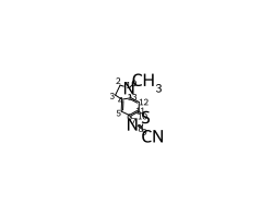 CN1CCc2cc3nc(C#N)sc3cc21